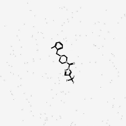 Cc1ccccc1CN1CCN(C(=O)n2cc(C(F)(F)F)cn2)CC1